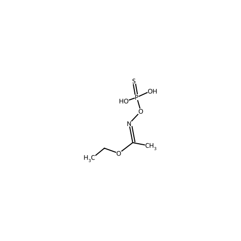 CCOC(C)=NOP(O)(O)=S